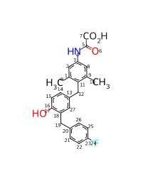 Cc1cc(NC(=O)C(=O)O)cc(C)c1Cc1ccc(O)c(Cc2ccc(F)cc2)c1